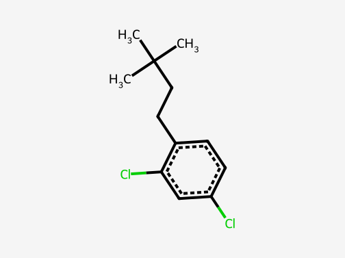 CC(C)(C)CCc1ccc(Cl)cc1Cl